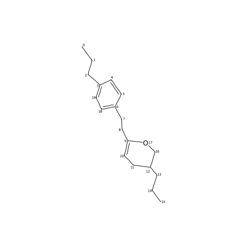 CCCc1ccc(CCC2=CCC(CCC)CO2)cc1